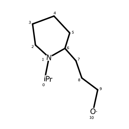 CC(C)N1CCCCC1CCC[O]